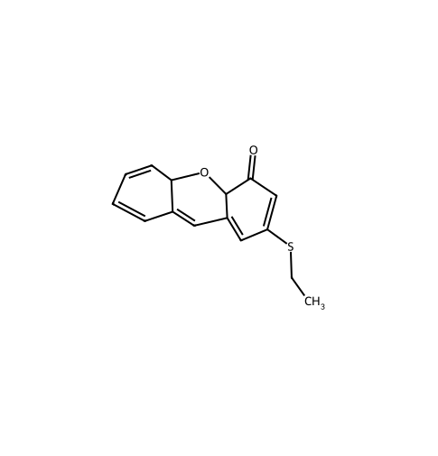 CCSC1=CC(=O)C2OC3C=CC=CC3=CC2=C1